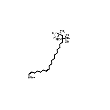 CCCCCC/C=C\CCCC/C=C\CCCCCCCCCCC(O)(C[N+](C)(C)C)P(=O)(O)O